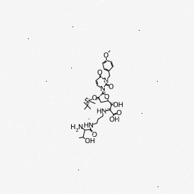 COc1ccc(Cn2c(=O)ccn([C@@H]3OC([C@@H](O)[C@H](NCCCNC(=O)C(N)C(C)O)C(=O)O)C[C@H]3O[Si](C)(C)C(C)(C)C)c2=O)cc1